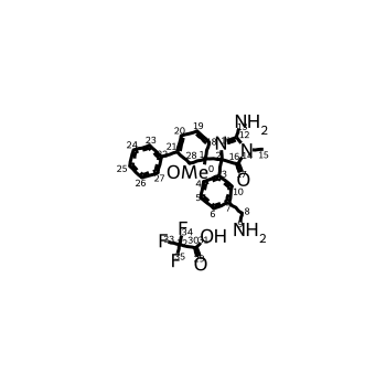 COC1(C2(c3cccc(CN)c3)N=C(N)N(C)C2=O)C=CC=C(c2ccccc2)C1.O=C(O)C(F)(F)F